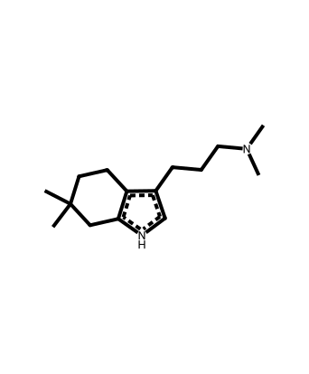 CN(C)CCCc1c[nH]c2c1CCC(C)(C)C2